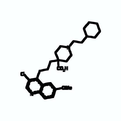 COc1ccc2ncc(Cl)c(CCCC3(C(=O)O)CCN(CCC4CCCCC4)CC3)c2c1